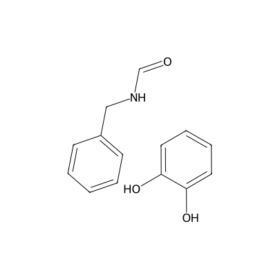 O=CNCc1ccccc1.Oc1ccccc1O